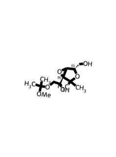 COC(C)(C)OCC(O)[C@@]12OC1[C@H](CO)OC2(C)C